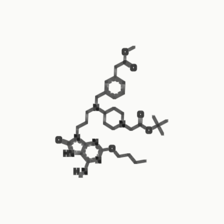 CCCCOc1nc(N)c2[nH]c(=O)n(CCCN(Cc3cccc(CC(=O)OC)c3)C3CCN(CC(=O)OC(C)(C)C)CC3)c2n1